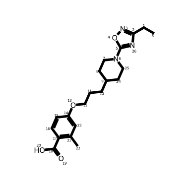 CCc1noc(N2CCC(CCCOc3ccc(C(=O)O)c(C)c3)CC2)n1